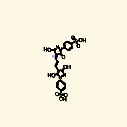 O=C1/C(=C\C=Cc2c(O)nn(-c3ccc(S(=O)(=O)O)cc3)c2O)C(O)=NN1c1ccc(S(=O)(=O)O)cc1